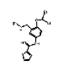 CCC(CC)Oc1ccc(NC(=N)c2cccs2)cc1CNC(C)C